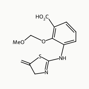 C=C1CN=C(Nc2cccc(C(=O)O)c2OCOC)S1